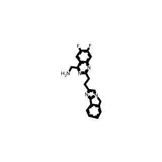 NCc1nc(CCc2cn3c(n2)-c2ccccc2C3)nc2cc(F)c(F)cc12